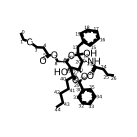 CCCCCC(=O)OC[C@H]1OC(O)(Cc2ccccc2)[C@H](NC(=O)CCC)[C@@H](OCc2ccccc2)[C@@]1(O)C(=O)CCCCC